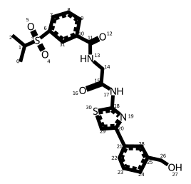 CC(C)S(=O)(=O)c1cccc(C(=O)NCC(=O)Nc2nc(-c3cccc(CO)c3)cs2)c1